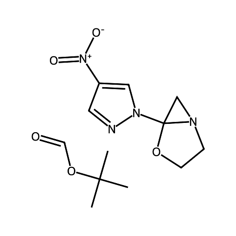 CC(C)(C)OC=O.O=[N+]([O-])c1cnn(C23CN2CCO3)c1